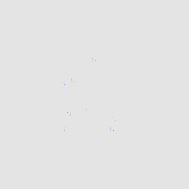 Cn1cc(-c2cc3nccn3c(-c3cnn(CCC#N)c3)n2)cn1